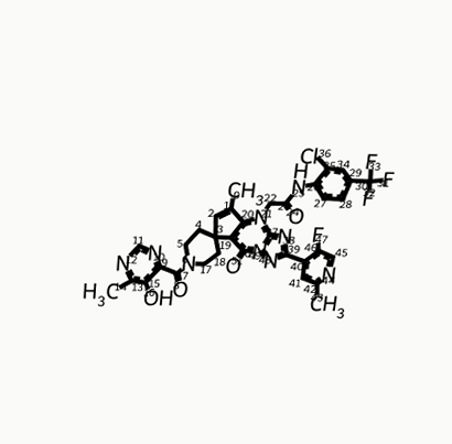 CC1=CC2(CCN(C(=O)c3ncnc(C)c3O)CC2)c2c1n(CC(=O)Nc1ccc(C(F)(F)F)cc1Cl)c1nc(-c3cc(C)ncc3F)nn1c2=O